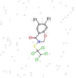 CCc1cc2c(cc1CC)C(=O)N(SC(Cl)(Cl)C(Cl)Cl)CO2